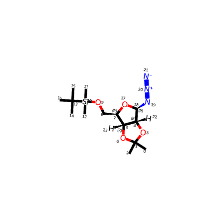 CC1(C)O[C@@H]2[C@H](O1)[C@@H](CO[Si](C)(C)C(C)(C)C)O[C@H]2N=[N+]=[N-]